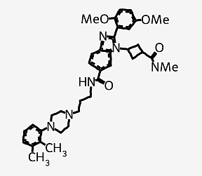 CNC(=O)C1CC(n2c(-c3cc(OC)ccc3OC)nc3ccc(C(=O)NCCCN4CCN(c5cccc(C)c5C)CC4)cc32)C1